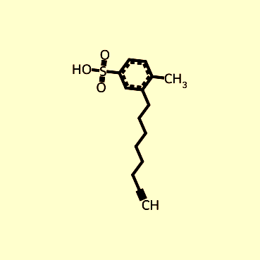 C#CCCCCCCc1cc(S(=O)(=O)O)ccc1C